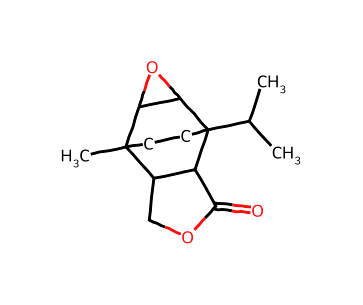 CC(C)C12CCC(C)(C3COC(=O)C31)C1OC12